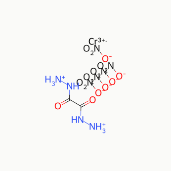 O=[N+]([O-])[O-].O=[N+]([O-])[O-].O=[N+]([O-])[O-].O=[N+]([O-])[O-].O=[N+]([O-])[O-].[Cr+3].[NH3+]NC(=O)C(=O)N[NH3+]